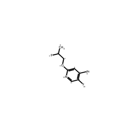 CC(F)COc1cc(C(C)C)c(F)cn1